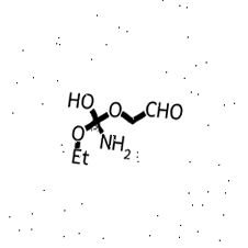 CCO[C@](N)(O)OCC=O